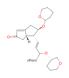 CCCCCC(C=C[C@@H]1[C@@H]2CC(=O)C=C2C[C@H]1OC1CCCCO1)O[C@H]1CCCOC1